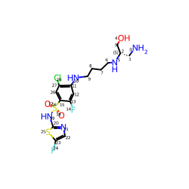 NC[C@@H](CO)NCCCCNc1cc(F)c(S(=O)(=O)Nc2ncc(F)s2)cc1Cl